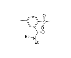 CCN(CC)C(=O)c1cc(C)ccc1S(C)(=O)=O